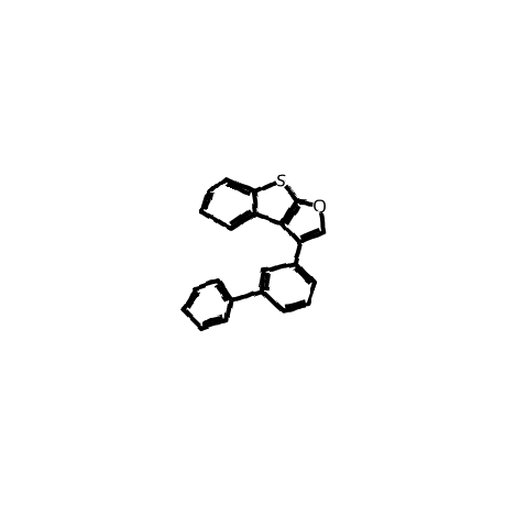 c1ccc(-c2cccc(-c3coc4sc5ccccc5c34)c2)cc1